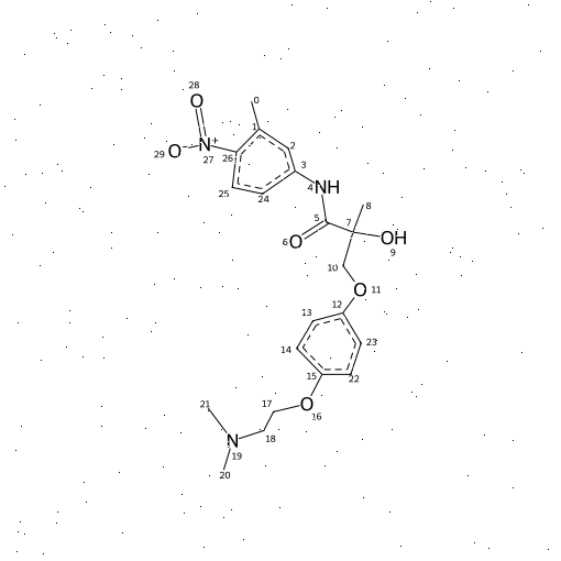 Cc1cc(NC(=O)C(C)(O)COc2ccc(OCCN(C)C)cc2)ccc1[N+](=O)[O-]